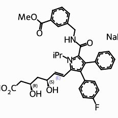 COC(=O)c1cccc(CNC(=O)c2c(-c3ccccc3)c(-c3ccc(F)cc3)c(/C=C/[C@@H](O)C[C@@H](O)CC(=O)O)n2C(C)C)c1.[NaH]